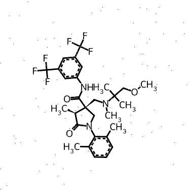 COCC(C)(C)N(C)C[C@@]1(C(=O)Nc2cc(C(F)(F)F)cc(C(F)(F)F)c2)CN(c2c(C)cccc2C)C(=O)[C@H]1C